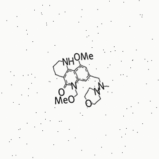 COCn1c(=O)c2c(c3c(OC)cc(CN(C)N4CCOCC4)cc31)NCCC2